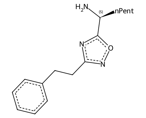 CCCCC[C@H](N)c1nc(CCc2ccccc2)no1